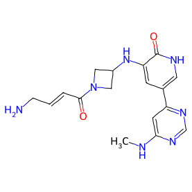 CNc1cc(-c2c[nH]c(=O)c(NC3CN(C(=O)C=CCN)C3)c2)ncn1